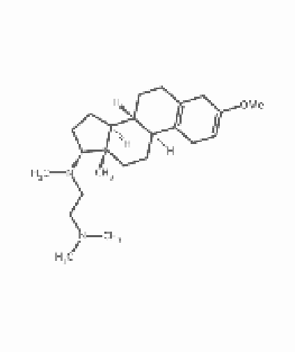 COC1=CCC2=C(CC[C@@H]3[C@@H]2CC[C@]2(C)[C@@H](N(C)CCN(C)C)CC[C@@H]32)C1